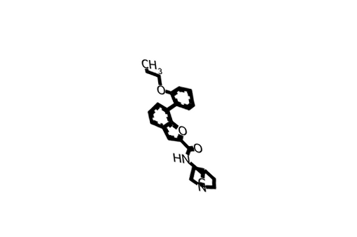 CCCOc1ccccc1-c1cccc2cc(C(=O)NC3CN4CCC3CC4)oc12